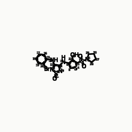 O=S(=O)(c1scc(Nc2n[s+]([O-])nc2Nc2ccccc2Br)c1O)N1CCCC1